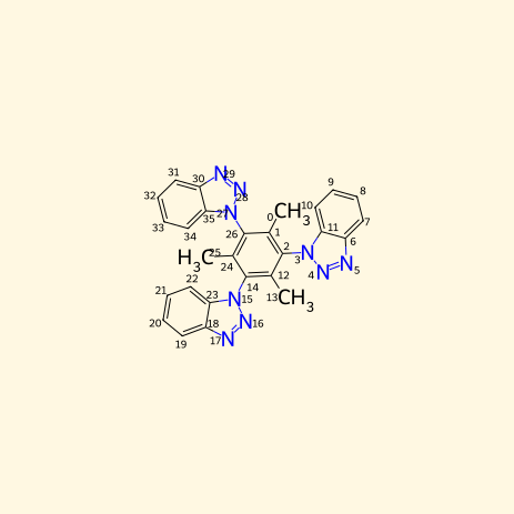 Cc1c(-n2nnc3ccccc32)c(C)c(-n2nnc3ccccc32)c(C)c1-n1nnc2ccccc21